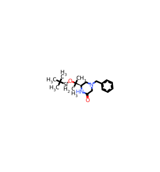 CC(C)(C)[SiH2]OC(C)(C)[C@H]1CN(Cc2ccccc2)CC(=O)N1